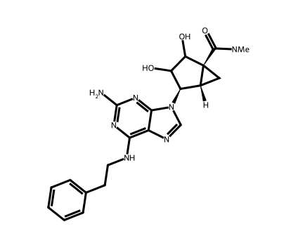 CNC(=O)[C@@]12C[C@@H]1[C@@H](n1cnc3c(NCCc4ccccc4)nc(N)nc31)C(O)C2O